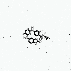 Cc1cnc(Nc2ccc(C(=O)NC3CC3)c(C(F)(F)F)c2)nc1Nc1ccc2oc(=O)[nH]c2c1